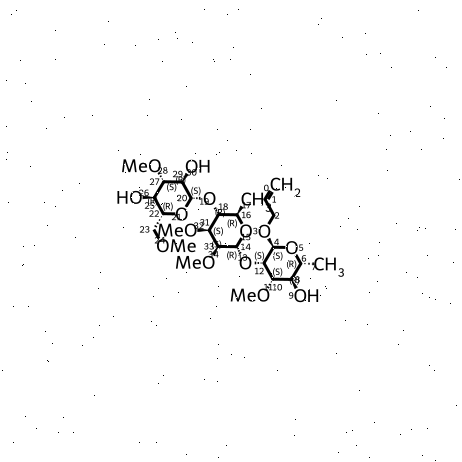 C=CCO[C@H]1O[C@H](C)[C@@H](O)[C@H](OC)[C@@H]1O[C@H]1O[C@H](C)[C@@H](O[C@@H]2O[C@H](COC)[C@@H](O)[C@H](OC)[C@H]2O)[C@H](OC)[C@@H]1OC